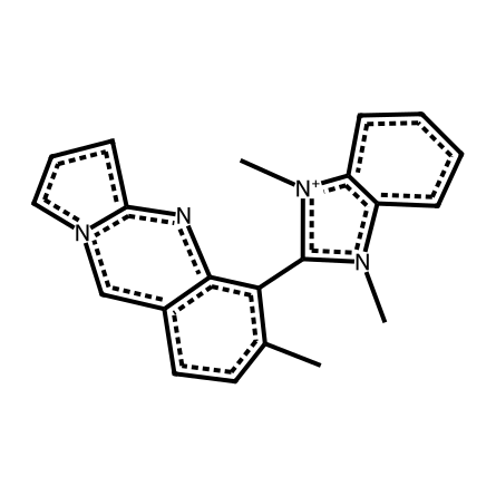 Cc1ccc2cn3cccc3nc2c1-c1n(C)c2ccccc2[n+]1C